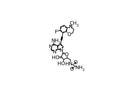 CN1CCOc2c1ccc(F)c2C#Cc1cn([C@@H]2OC(CNS(N)(=O)=O)C(O)[C@H]2O)c2ncnc(N)c12